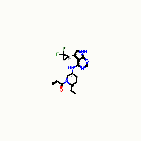 C=CC(=O)N1C[C@@H](Nc2ncnc3[nH]cc([C@H]4CC4(F)F)c23)CC[C@H]1CC